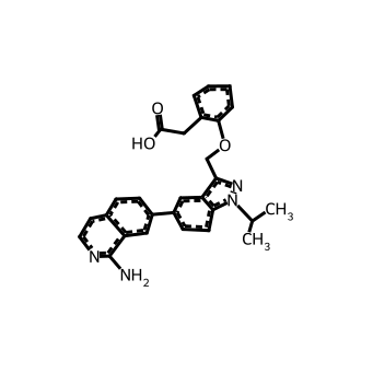 CC(C)n1nc(COc2ccccc2CC(=O)O)c2cc(-c3ccc4ccnc(N)c4c3)ccc21